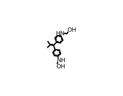 CC(C)=C(c1ccc(NCO)cc1)c1ccc(NCO)cc1